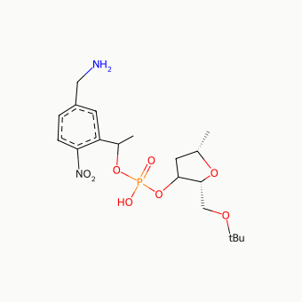 CC(OP(=O)(O)OC1C[C@H](C)O[C@@H]1COC(C)(C)C)c1cc(CN)ccc1[N+](=O)[O-]